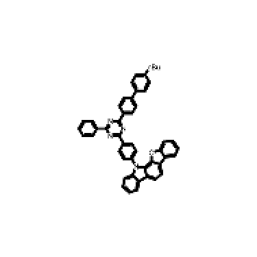 CCCCc1ccc(-c2ccc(-c3nc(-c4ccccc4)nc(-c4ccc(-n5c6ccccc6c6ccc7c8ccccc8oc7c65)cc4)n3)cc2)cc1